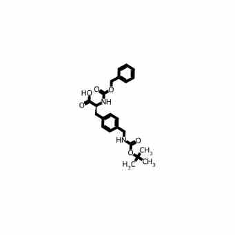 CC(C)(C)OC(=O)NCc1ccc(C[C@H](NC(=O)OCc2ccccc2)C(=O)O)cc1